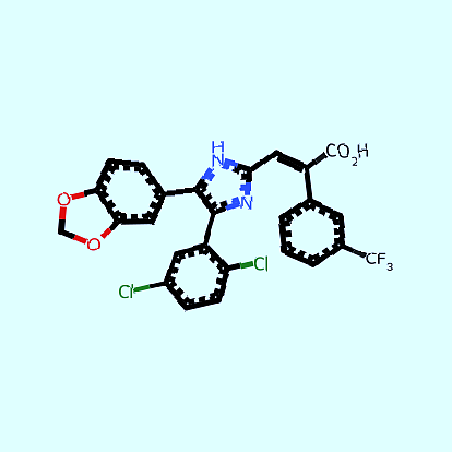 O=C(O)C(=Cc1nc(-c2cc(Cl)ccc2Cl)c(-c2ccc3c(c2)OCO3)[nH]1)c1cccc(C(F)(F)F)c1